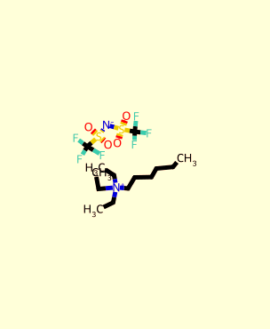 CCCCCC[N+](CC)(CC)CC.O=S(=O)([N-]S(=O)(=O)C(F)(F)F)C(F)(F)F